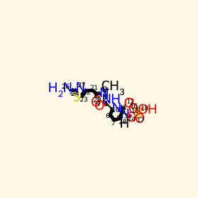 CN(NC(=O)[C@@H]1CC[C@@H]2CN1C(=O)N2OS(=O)(=O)O)C(=O)Cc1csc(N)n1